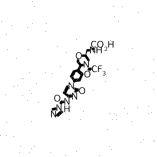 O=C(O)NC[C@H]1CN(C(=O)C(F)(F)F)C(c2ccc(-n3ccc(NC(=O)n4ccnc4)nc3=O)cc2)CO1